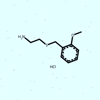 COc1ccccc1CSCCN.Cl